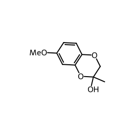 COc1ccc2c(c1)OC(C)(O)CO2